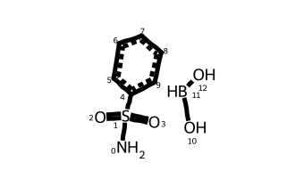 NS(=O)(=O)c1ccccc1.OBO